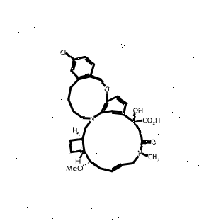 CO[C@H]1C/C=C/CN(C)C(=O)C[C@](O)(C(=O)O)c2ccc3c(c2)N(CCCCc2cc(Cl)ccc2CO3)C[C@@H]2CC[C@H]21